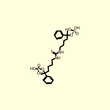 CC(CCCCNC(=S)NCCCCC(C)(OP(=O)(O)O)c1ccccc1)(OP(=O)(O)O)c1ccccc1